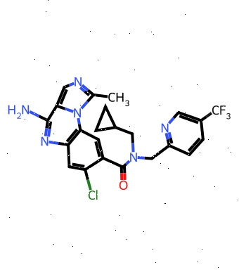 Cc1ncc2c(N)nc3cc(Cl)c(C(=O)N(Cc4ccc(C(F)(F)F)cn4)CC4CC4)cc3n12